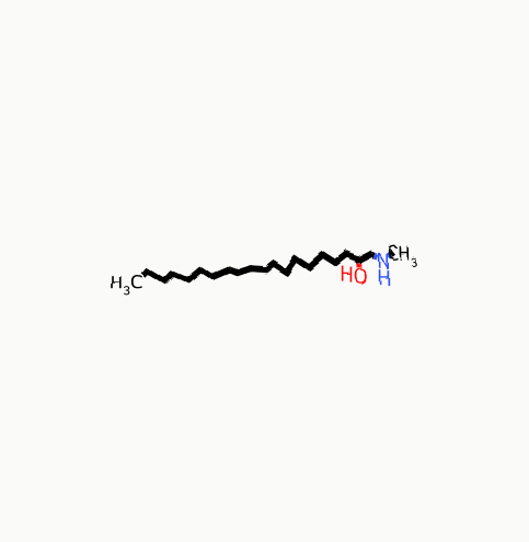 CCCCCCCCCCCCCCCCCCC(O)CNC